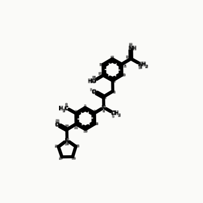 Cc1cc(N(C)C(=O)Cc2cc(C(=N)N)ccc2O)ccc1C(=O)N1CCCC1